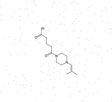 CC(C)=CN1CCN(C(=O)CCCC(=O)C(C)C)CC1